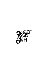 Cc1ccc(S(=O)(=O)O[C@@H](C)C[C@]2(C(=O)N[C@@H](C)c3ccccc3)COc3ccccc3O2)cc1